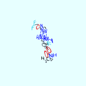 CC1(NC(=O)O[C@H]2CC[C@@H](c3cc(Nc4nccc5nc(OCC(F)F)cn45)n[nH]3)[C@@H]2F)CC1